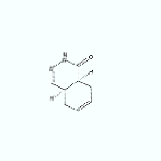 O=C1NN=C[C@@H]2CC=CC[C@H]12